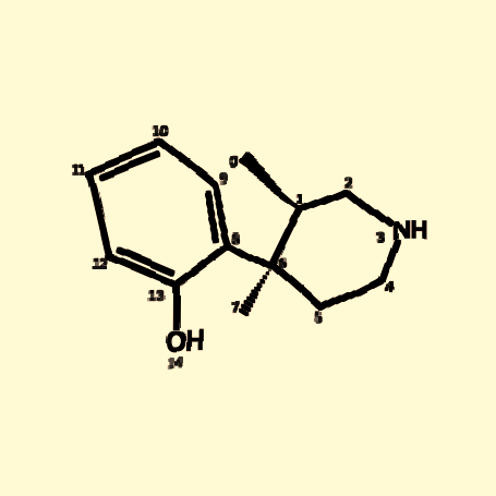 C[C@H]1CNCC[C@@]1(C)c1ccccc1O